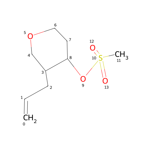 C=CCC1COCCC1OS(C)(=O)=O